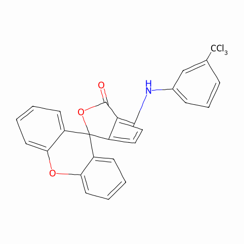 O=C1OC2(c3ccccc3Oc3ccccc32)c2cccc(Nc3cccc(C(Cl)(Cl)Cl)c3)c21